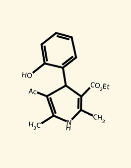 CCOC(=O)C1=C(C)NC(C)=C(C(C)=O)C1c1ccccc1O